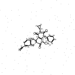 Cn1c(=O)cc(Nc2ccc(C#N)cc2F)c2c(=O)n(C3CC3)c(=O)n(-c3ccccc3)c21